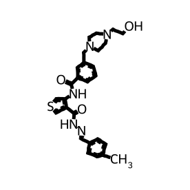 Cc1ccc(C=NNC(=O)c2cscc2NC(=O)c2cccc(CN3CCN(CCO)CC3)c2)cc1